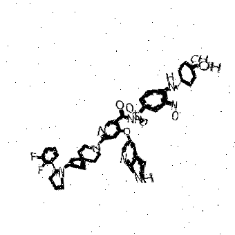 C[C@]1(O)CC[C@H](CNc2ccc(S(=O)(=O)NC(=O)c3cnc(N4CCC5(CC4)CC(N4CCC[C@H]4c4cccc(F)c4F)C5)cc3Oc3cnc4[nH]ccc4c3)cc2N=O)CC1